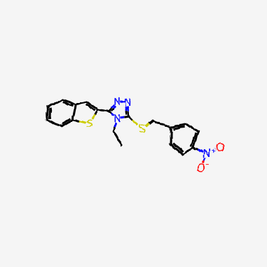 CCn1c(SCc2ccc([N+](=O)[O-])cc2)nnc1-c1cc2ccccc2s1